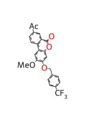 COc1cc2c(cc1OCc1ccc(C(F)(F)F)cc1)oc(=O)c1cc(C(C)=O)ccc12